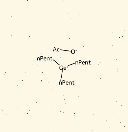 CC(=O)[O-].CCCC[CH2][Ge+]([CH2]CCCC)[CH2]CCCC